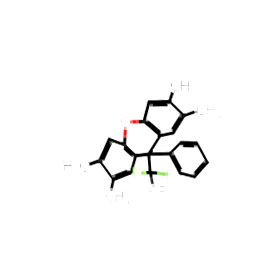 Cc1cc2c(cc1C)C(c1ccccc1)(C(F)(F)C(F)(F)F)c1cc(C)c(C)cc1O2